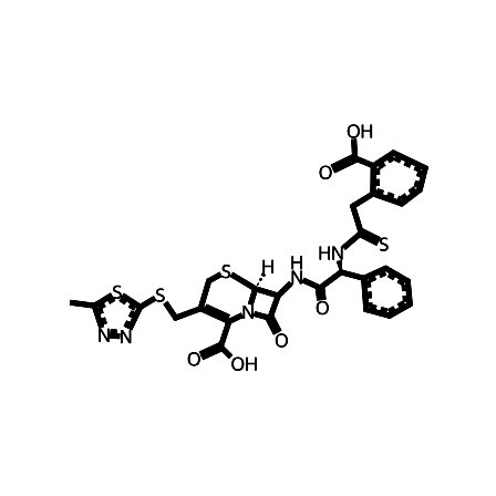 Cc1nnc(SCC2=C(C(=O)O)N3C(=O)C(NC(=O)[C@@H](NC(=S)Cc4ccccc4C(=O)O)c4ccccc4)[C@@H]3SC2)s1